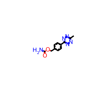 Cc1nnc(-c2ccc(COC(N)=O)cc2)nn1